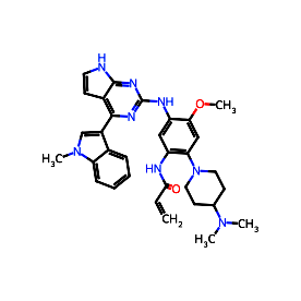 C=CC(=O)Nc1cc(Nc2nc(-c3cn(C)c4ccccc34)c3cc[nH]c3n2)c(OC)cc1N1CCC(N(C)C)CC1